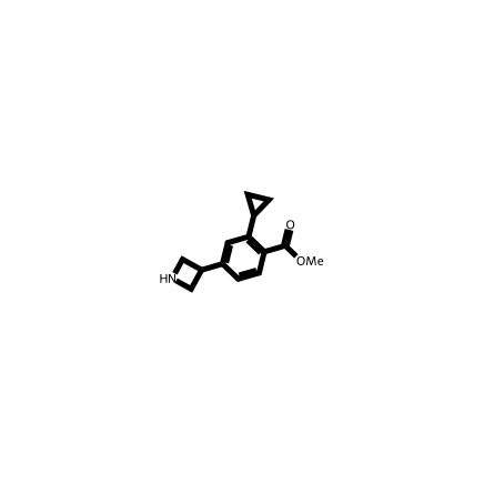 COC(=O)c1ccc(C2CNC2)cc1C1CC1